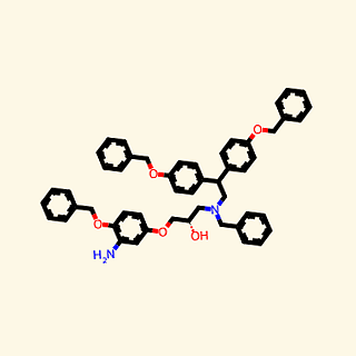 Nc1cc(OC[C@@H](O)CN(Cc2ccccc2)CC(c2ccc(OCc3ccccc3)cc2)c2ccc(OCc3ccccc3)cc2)ccc1OCc1ccccc1